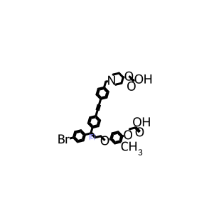 Cc1cc(OC/C=C(/c2ccc(Br)cc2)c2ccc(C#Cc3ccc(CN4CCC(OC(=O)O)CC4)cc3)cc2)ccc1OCC(=O)O